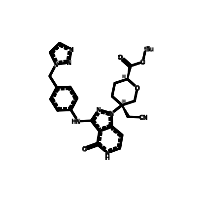 CC(C)(C)OC(=O)[C@@H]1CC[C@@](CC#N)(n2nc(Nc3ccc(Cn4ccnn4)cc3)c3c(=O)[nH]ccc32)CO1